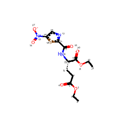 CCOC(=O)CC[C@H](NC(=O)c1ncc([N+](=O)[O-])s1)C(=O)OCC